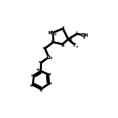 OCC1(F)CNC(COCc2ccccc2)C1